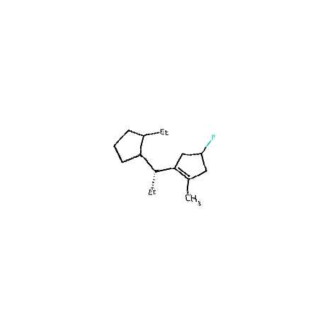 CCC1CCCC1[C@@H](CC)C1=C(C)CC(F)C1